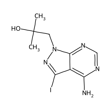 CC(C)(O)Cn1nc(I)c2c(N)ncnc21